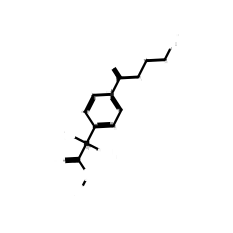 COC(=O)C(C)(C)c1ccc(C(=O)CCCBr)cc1